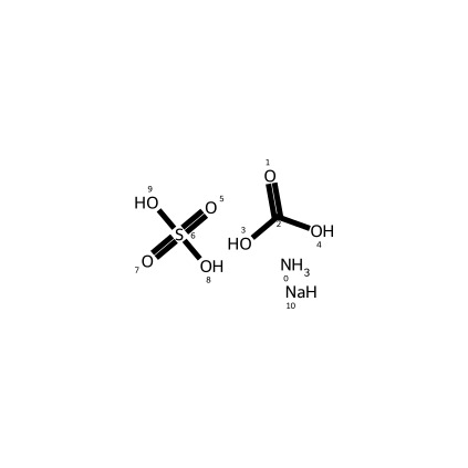 N.O=C(O)O.O=S(=O)(O)O.[NaH]